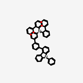 c1ccc(-c2ccccc2N(c2cccc(-c3cccc(-c4cccc5c4c4ccccc4n5-c4ccccc4)c3)c2)c2ccccc2-c2ccccc2)cc1